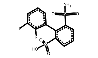 NS(=O)(=O)c1cccc(S(=O)(=O)O)c1-c1cccc(I)c1F